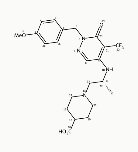 COc1ccc(Cn2ncc(N[C@H](C)CN3CCC(C(=O)O)CC3)c(C(F)(F)F)c2=O)cc1